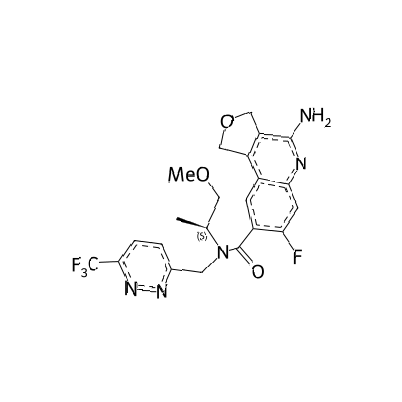 COC[C@H](C)N(Cc1ccc(C(F)(F)F)nn1)C(=O)c1cc2c3c(c(N)nc2cc1F)COC3